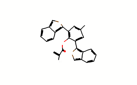 C=C(C)C(=O)Oc1c(-c2scc3ccccc23)cc(C)cc1-c1scc2ccccc12